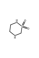 O=S1(=O)CNCCN1